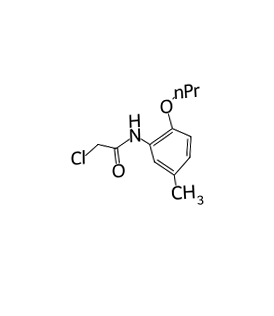 CCCOc1ccc(C)cc1NC(=O)CCl